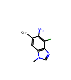 Cn1cnc2c(F)c(N)c(C=O)cc21